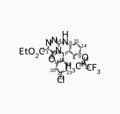 CCOC(=O)c1nnc(Nc2ccc(O[C@H](C)C(F)(F)F)cc2)n(Cc2ccc(Cl)cc2)c1=O